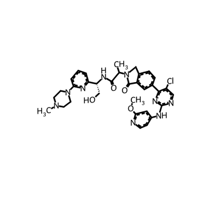 COc1cc(Nc2ncc(Cl)c(-c3ccc4c(c3)C(=O)N(C(C)C(=O)N[C@H](CO)c3cccc(N5CCN(C)CC5)n3)C4)n2)ccn1